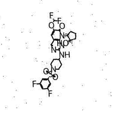 C[C@@]1(O)CCC[C@H]1n1c(=O)c(OC(F)F)cc2cnc(NC3CCN(S(=O)(=O)c4cc(F)cc(F)c4)CC3)nc21